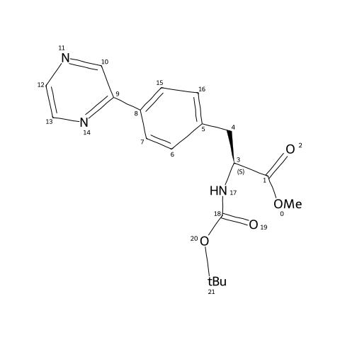 COC(=O)[C@H](Cc1ccc(-c2cnccn2)cc1)NC(=O)OC(C)(C)C